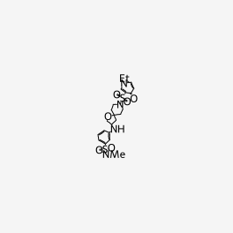 CCn1ccc(=O)c(S(=O)(=O)N2CCC3(CC2)C[C@@H](Nc2cccc(S(=O)(=O)NC)c2)CO3)c1